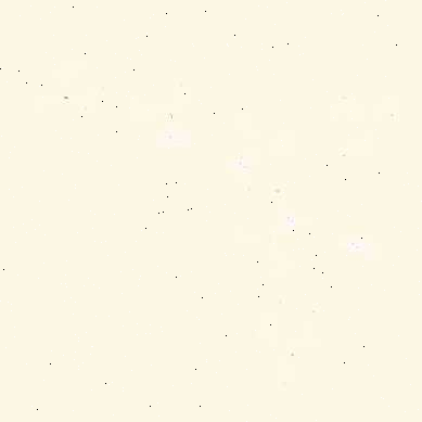 Cc1oc(=O)oc1COC(=O)NCCN(CCN(CCN)C(=O)OCc1coc(=O)o1)C(=O)OCc1oc(=O)oc1C